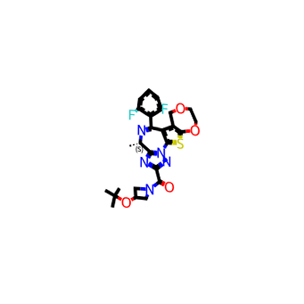 C[C@@H]1N=C(c2c(F)cccc2F)c2c(sc3c2COCCO3)-n2nc(C(=O)N3CC(OC(C)(C)C)C3)nc21